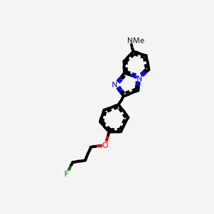 CNc1ccn2cc(-c3ccc(OCCCF)cc3)nc2c1